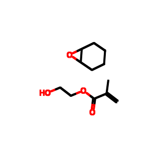 C1CCC2OC2C1.C=C(C)C(=O)OCCO